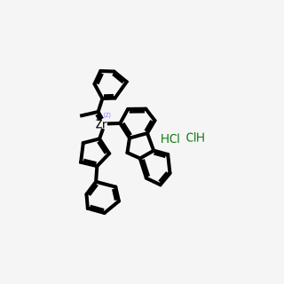 C/[C](c1ccccc1)=[Zr](\[C]1=CC(c2ccccc2)=CC1)[c]1cccc2c1Cc1ccccc1-2.Cl.Cl